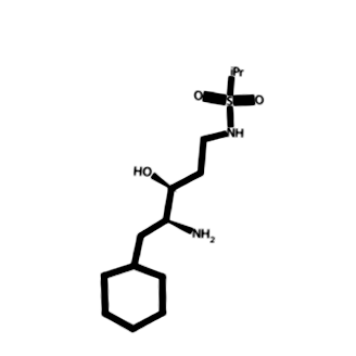 CC(C)S(=O)(=O)NCC[C@H](O)[C@@H](N)CC1CCCCC1